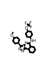 COc1ccc(-c2nnc3c4ccccc4c(Nc4ccc(OC(F)(F)F)cc4)nn23)cc1